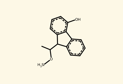 CC(O[SiH3])C1c2ccccc2-c2c(O)cccc21